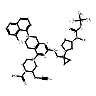 Cc1cccc2cccc(N3CCc4c(nc(OCC5(N6CC[C@@H](N(C)C(=O)OC(C)(C)C)C6)CC5)nc4N4CCN(C(=O)O)C(CC#N)C4)C3)c12